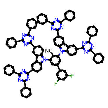 N#Cc1c(-n2c3ccc(-c4nc(-c5ccccc5)nc(-c5ccccc5)n4)cc3c3cc(-c4nc(-c5ccccc5)nc(-c5ccccc5)n4)ccc32)cc(-c2cc(F)cc(F)c2)cc1-n1c2ccc(-c3nc(-c4ccccc4)nc(-c4ccccc4)n3)cc2c2cc(-c3nc(-c4ccccc4)nc(-c4ccccc4)n3)ccc21